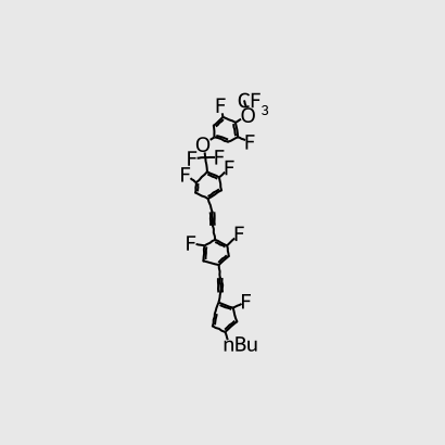 CCCCc1ccc(C#Cc2cc(F)c(C#Cc3cc(F)c(C(F)(F)Oc4cc(F)c(OC(F)(F)F)c(F)c4)c(F)c3)c(F)c2)c(F)c1